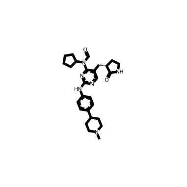 CN1CCC(c2ccc(Nc3ncc(C[C@@H]4CCNC4=O)c(N(C=O)C4CCCC4)n3)cc2)CC1